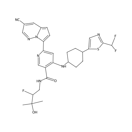 CC(C)(O)C(F)CNC(=O)c1cnc(-c2ccc3cc(C#N)cnn23)cc1NC1CCC(c2cnc(C(F)F)s2)CC1